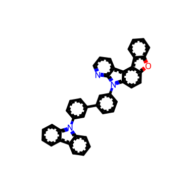 c1cc(-c2cccc(-n3c4ccc5oc6ccccc6c5c4c4cccnc43)c2)cc(-n2c3ccccc3c3ccccc32)c1